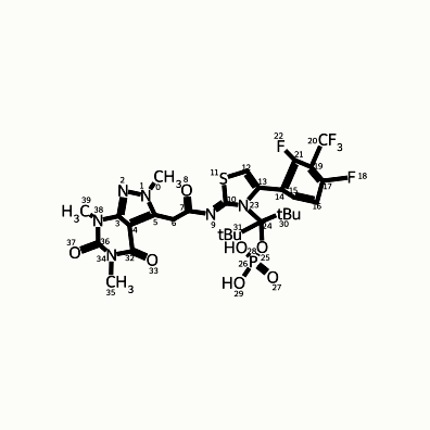 Cn1nc2c(c1CC(=O)N=c1scc(-c3ccc(F)c(C(F)(F)F)c3F)n1C(OP(=O)(O)O)(C(C)(C)C)C(C)(C)C)c(=O)n(C)c(=O)n2C